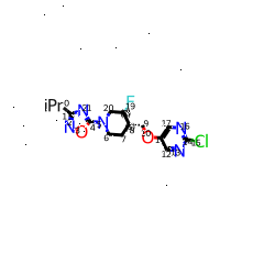 CC(C)c1noc(N2CC[C@@H](COc3cnc(Cl)nc3)[C@@H](F)C2)n1